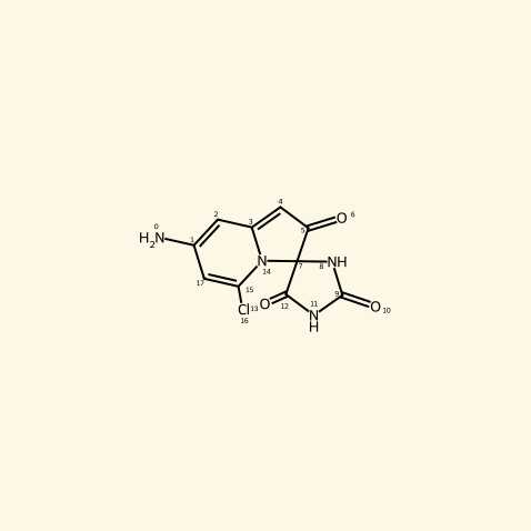 NC1=CC2=CC(=O)C3(NC(=O)NC3=O)N2C(Cl)=C1